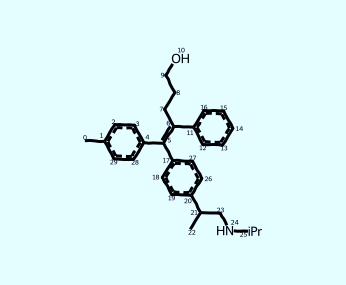 Cc1ccc(/C(=C(\CCCO)c2ccccc2)c2ccc(C(C)CNC(C)C)cc2)cc1